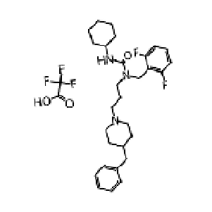 O=C(NC1CCCCC1)N(CCCN1CCC(Cc2ccccc2)CC1)Cc1c(F)cccc1F.O=C(O)C(F)(F)F